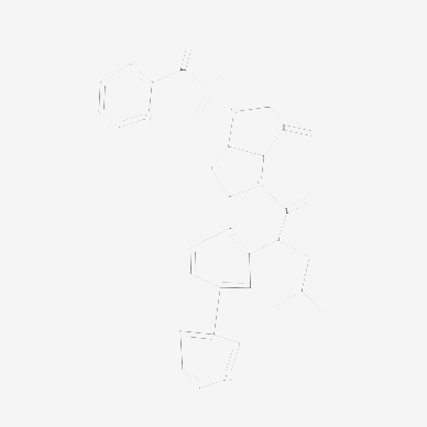 CC(C)CC(C(=O)N1CCC2C1C(=O)CN2S(=O)(=O)C(=O)c1ccccn1)c1cccc(-c2cccnc2)c1